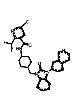 O=C(NC1CCC(Cn2c(=O)n(-c3ccc4ccncc4c3)c3ccccc32)CC1)c1cc(Cl)cnc1C(F)F